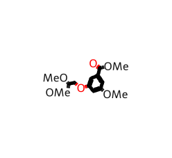 COC(=O)c1cc(OC)cc(OCC(OC)OC)c1